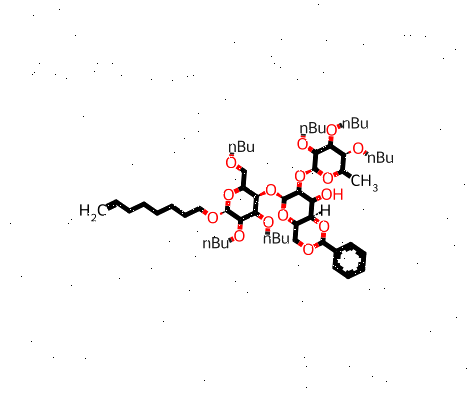 C=CCCCCCCO[C@@H]1OC(COCCCC)[C@@H](O[C@@H]2OC3COC(c4ccccc4)O[C@@H]3C(O)C2O[C@@H]2OC(C)[C@@H](OCCCC)C(OCCCC)C2OCCCC)C(OCCCC)C1OCCCC